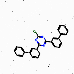 Clc1nc(-c2cccc(-c3ccccc3)c2)nc(C2C=C(c3ccccc3)C=CC2)n1